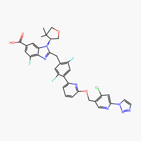 CC1(C)COC[C@H]1n1c(Cc2cc(F)c(-c3cccc(OCc4cnc(-n5ccnn5)cc4Cl)n3)cc2F)nc2c(F)cc(C(=O)O)cc21